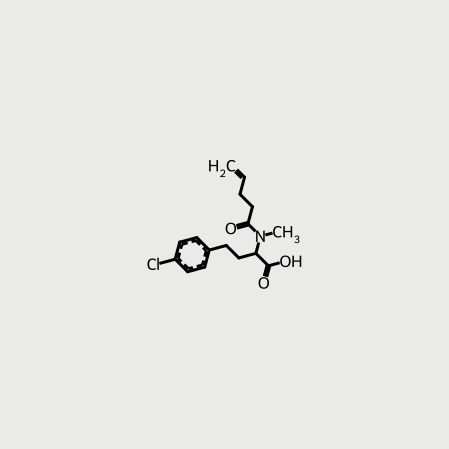 C=CCCC(=O)N(C)C(CCc1ccc(Cl)cc1)C(=O)O